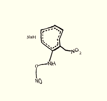 O=NONc1ccccc1[N+](=O)[O-].[NaH]